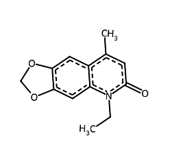 CCn1c(=O)cc(C)c2cc3c(cc21)OCO3